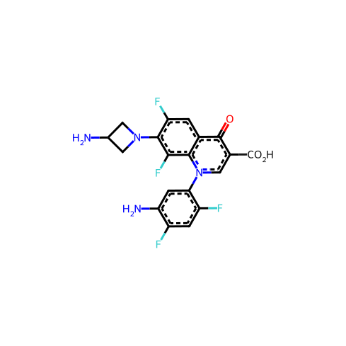 Nc1cc(-n2cc(C(=O)O)c(=O)c3cc(F)c(N4CC(N)C4)c(F)c32)c(F)cc1F